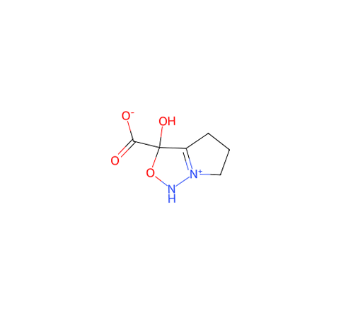 O=C([O-])C1(O)ON[N+]2=C1CCC2